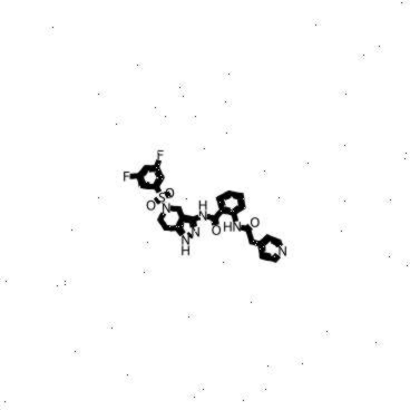 O=C(Cc1ccncc1)Nc1ccccc1C(=O)Nc1n[nH]c2c1CN(S(=O)(=O)c1cc(F)cc(F)c1)CC2